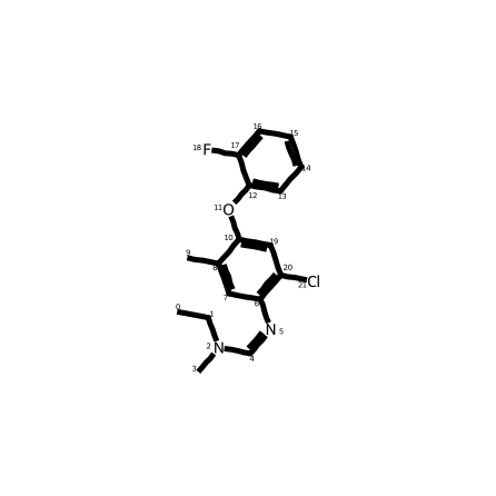 CCN(C)/C=N\c1cc(C)c(Oc2ccccc2F)cc1Cl